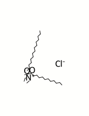 CCCCCCCCCCCCCCOC(C)(C(=O)CCCCCCCCCCC)[N+](C)(CC)CC.[Cl-]